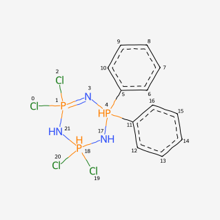 ClP1(Cl)=N[PH](c2ccccc2)(c2ccccc2)N[PH](Cl)(Cl)N1